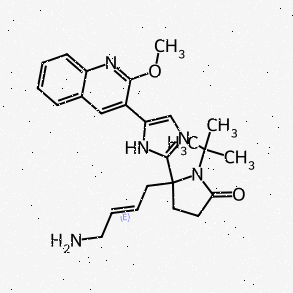 COc1nc2ccccc2cc1-c1cnc(C2(C/C=C/CN)CCC(=O)N2C(C)(C)C)[nH]1